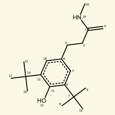 C=C(CCc1cc(C(C)(C)C)c(O)c(C(C)(C)C)c1)NC